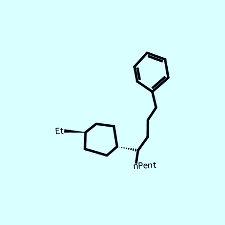 CCCCCC(CCCc1ccccc1)[C@H]1CC[C@H](CC)CC1